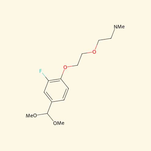 CNCCOCCOc1ccc(C(OC)OC)cc1F